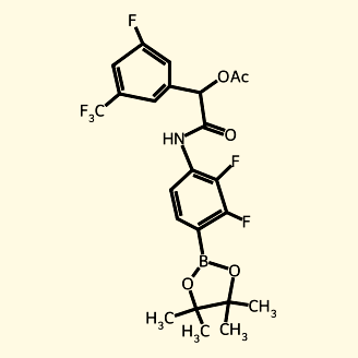 CC(=O)OC(C(=O)Nc1ccc(B2OC(C)(C)C(C)(C)O2)c(F)c1F)c1cc(F)cc(C(F)(F)F)c1